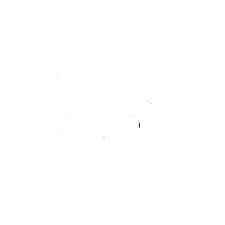 CCOc1cc(OC[C@H]2CCCN2C(=O)O)c2c(Nc3cnn(CC(=O)Nc4cccc(F)c4F)c3)ncnc2c1.Cl